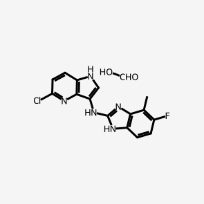 Cc1c(F)ccc2[nH]c(Nc3c[nH]c4ccc(Cl)nc34)nc12.O=CO